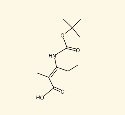 CC/C(NC(=O)OC(C)(C)C)=C(/C)C(=O)O